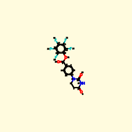 O=C1CCN(c2ccc(C(=O)Oc3c(F)c(F)c(F)c(F)c3F)cc2)C(=O)N1